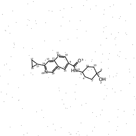 CC1(O)CCC(NC(=O)c2cnc3cc(C4CC4)ncc3c2)CC1